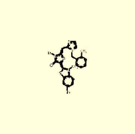 CCn1c(=O)/c(=C2\Sc3cc(C(C)C)ccc3N2C)s/c1=C\c1scc[n+]1Cc1ccccc1C